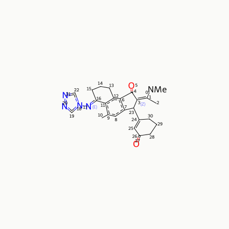 CN/C(C)=C1\C(=O)c2c(cc(C)c3c2CCC/C3=N\n2cnnc2)C1C1=CC(=O)CCC1